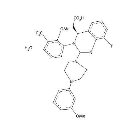 COc1cccc(N2CCN(C3=Nc4c(F)cccc4[C@H](CC(=O)O)N3c3cccc(C(F)(F)F)c3OC)CC2)c1.O